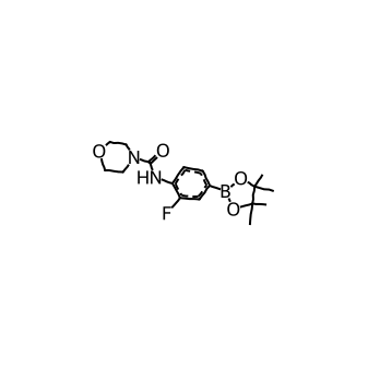 CC1(C)OB(c2ccc(NC(=O)N3CCOCC3)c(F)c2)OC1(C)C